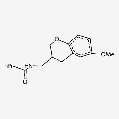 CCCC(=O)NCC1COc2ccc(OC)cc2C1